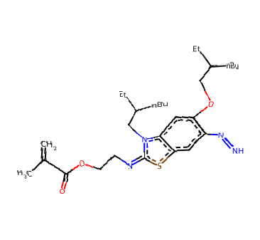 C=C(C)C(=O)OCC/N=c1/sc2cc(N=N)c(OCC(CC)CCCC)cc2n1CC(CC)CCCC